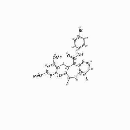 COc1ccc(CN2C(=O)C(C)Oc3c(C)cccc3C2C(=O)Nc2ccc(Br)cc2)c(OC)c1